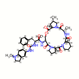 C[C@@H]1C[C@H]2C(=O)O[C@@H](C)[C@H](NC(=O)[C@H](Cc3ccccc3)NC(=O)Nc3ccc4c(c3)CCN4C)C(=O)N3CCC[C@H]3C(=O)N3CCCC[C@H]3C(=O)N[C@@H](C)C(=O)N2C1